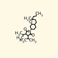 CCCC1(C)CCC2CCC(N3C(=O)C(C(C)C)C(C(C)C)C3=O)CC2O1